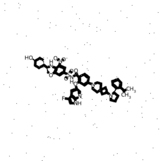 CC(C)c1ccccc1[C@H]1CCCN1C1CC2(CCN(c3ccc(C(=O)NS(=O)(=O)c4cc5c(c([N+](=O)[O-])c4)N[C@H]([C@H]4CC[C@H](O)CC4)CO5)c(Oc4cnc5[nH]cc(F)c5c4)c3)CC2)C1